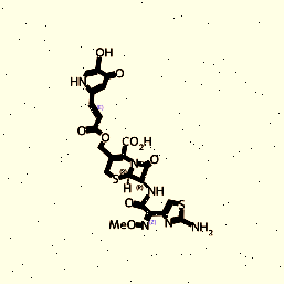 CO/N=C(\C(=O)N[C@@H]1C(=O)N2C(C(=O)O)=C(COC(=O)/C=C/c3cc(=O)c(O)c[nH]3)CS[C@H]12)c1csc(N)n1